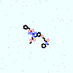 CCOC(=O)CN1Cc2cc(OCCCC(=O)N(C)C3CCCCC3)ccc2N=C1NC(=O)OCc1ccccc1